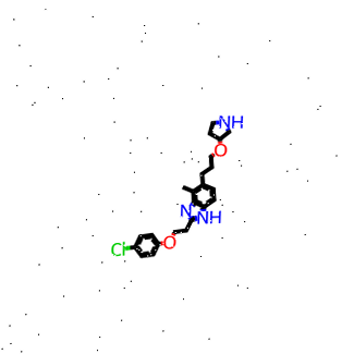 Cc1c(CCCOC2CCNC2)ccc2[nH]c(CCOc3ccc(Cl)cc3)nc12